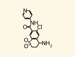 NC1CCS(=O)(=O)c2cc(C(=O)Nc3ccncc3)c(Cl)cc21